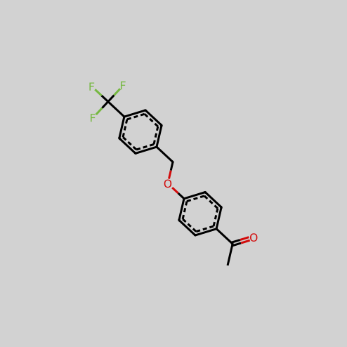 CC(=O)c1ccc(OCc2ccc(C(F)(F)F)cc2)cc1